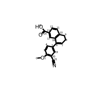 COc1ccc(C2=CCCc3ccc(C(=O)O)cc32)cc1C#N